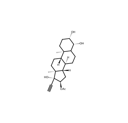 C#C[C@]1(O)[C@H](OC(C)=O)C[C@H]2[C@@H]3CCC4[C@@H](O)[C@@H](O)CC[C@]4(C)[C@H]3CC[C@@]21C